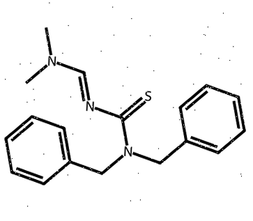 CN(C)/C=N/C(=S)N(Cc1ccccc1)Cc1ccccc1